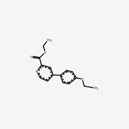 CCOC(=O)c1cc(-c2ccc(OCC)cc2)ccn1